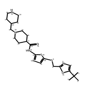 CC(C)(C)c1cnc(CSc2cnc(NC(=O)C3CCN(CC4CCNCC4)CC3)s2)o1